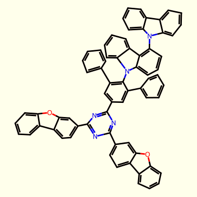 c1ccc(-c2cc(-c3nc(-c4ccc5c(c4)oc4ccccc45)nc(-c4ccc5c(c4)oc4ccccc45)n3)cc(-c3ccccc3)c2-n2c3ccccc3c3c(-n4c5ccccc5c5ccccc54)cccc32)cc1